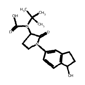 CC(C)(C)N(C(=O)O)C1CCN(c2ccc3c(c2)CCC3O)C1=O